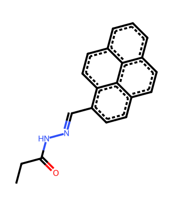 CCC(=O)N/N=C/c1ccc2ccc3cccc4ccc1c2c34